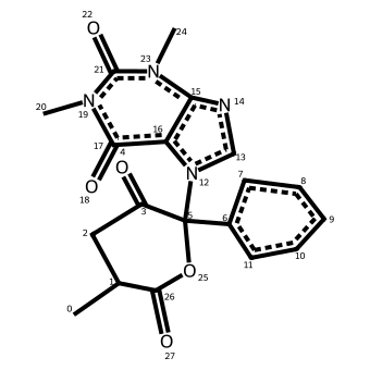 CC1CC(=O)C(c2ccccc2)(n2cnc3c2c(=O)n(C)c(=O)n3C)OC1=O